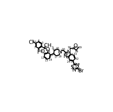 CC1(c2ccc(Cl)cc2F)Oc2cccc(C3CCN(Cc4nc5cc(-c6nc(Br)ns6)ccc5n4CC4CCO4)CC3)c2O1